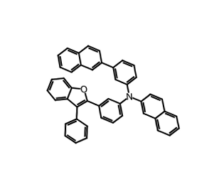 c1ccc(-c2c(-c3cccc(N(c4cccc(-c5ccc6ccccc6c5)c4)c4ccc5ccccc5c4)c3)oc3ccccc23)cc1